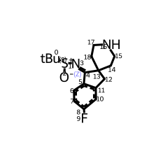 CC(C)(C)[S@@+]([O-])/N=C1\c2ccc(F)cc2CC12CCNCC2